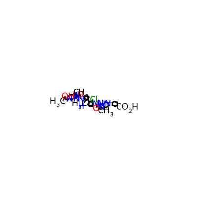 Cc1c(NC(=O)c2nc3c(n2C)CCN(C[C@@H](C)O)C3)cccc1-c1cccc(NC(=O)c2nc3c(n2C)CCN(C[C@H]2CC[C@@H](C(=O)O)CC2)C3)c1Cl